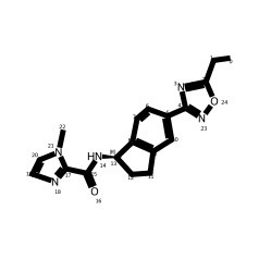 CCc1nc(-c2ccc3c(c2)CC[C@H]3NC(=O)c2nccn2C)no1